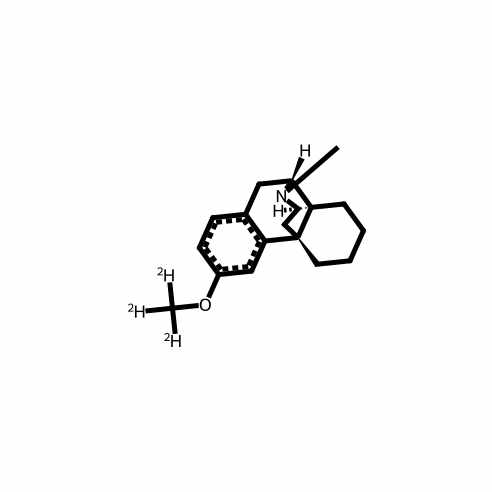 [2H]C([2H])([2H])Oc1ccc2c(c1)[C@@]13CCCC[C@@H]1[C@@H](C2)N(C)CC3